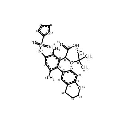 Cc1cc(NS(=O)(=O)c2cccs2)c(C)c(C(OC(C)(C)C)C(=O)O)c1-c1ccc2c(c1)CCCO2